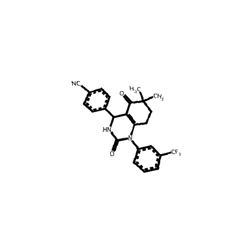 CC1(C)CCC2=C(C1=O)C(c1ccc(C#N)cc1)NC(=O)N2c1cccc(C(F)(F)F)c1